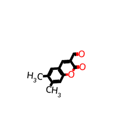 Cc1cc2cc(C=O)c(=O)oc2cc1C